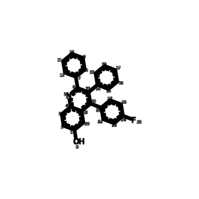 Oc1ccc2nc(-c3ccccc3)c(-c3ccccc3)c(-c3ccc(F)cc3)c2c1